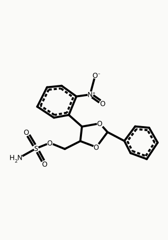 NS(=O)(=O)OCC1OC(c2ccccc2)OC1c1ccccc1[N+](=O)[O-]